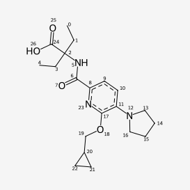 CCC(CC)(NC(=O)c1ccc(N2CCCC2)c(OCC2CC2)n1)C(=O)O